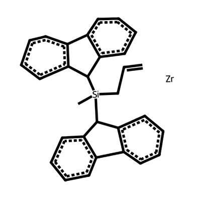 C=CC[Si](C)(C1c2ccccc2-c2ccccc21)C1c2ccccc2-c2ccccc21.[Zr]